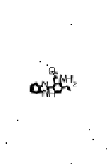 CCc1ccc(-c2nc3ccccc3[nH]2)c(C=S=O)c1N